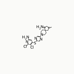 C[C@@H]1C[C@@H](N)C2(CCN(c3cnc(Sc4cc(N)nc(Cl)c4Cl)cn3)CC2)C1